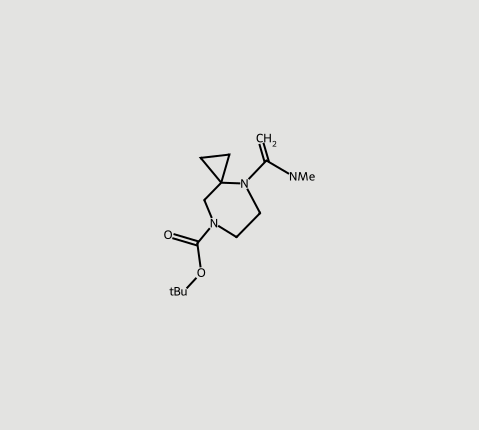 C=C(NC)N1CCN(C(=O)OC(C)(C)C)CC12CC2